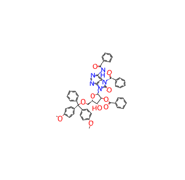 COc1ccc(C(OC[C@H]2O[C@@H](n3c(=O)n(C(=O)c4ccccc4)c4c(NC(=O)c5ccccc5)ncnc43)[C@@H](OC(=O)c3ccccc3)[C@@H]2O)(c2ccccc2)c2ccc(OC)cc2)cc1